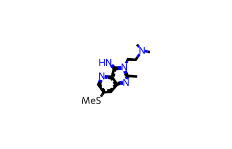 CSc1cnc2c(=N)n(CCN(C)C)c(C)nc2c1